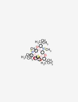 CSN1c2cc3c(cc2B2c4cc5c(cc4Oc4cc(C(C)(C)C)cc1c42)N(SC)c1cc(C(C)(C)C)cc2c1B5c1sc4ccccc4c1O2)B1c2sc4ccccc4c2Oc2cc(C(C)(C)C)cc(c21)O3